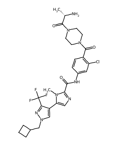 C[C@H](N)C(=O)N1CCN(C(=O)c2ccc(NC(=O)c3ncc(-c4cn(CC5CCC5)nc4C(F)(F)F)n3C)cc2Cl)CC1